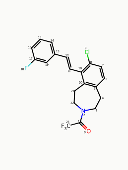 O=C(N1CCc2ccc(Cl)c(/C=C/c3cccc(F)c3)c2CC1)C(F)(F)F